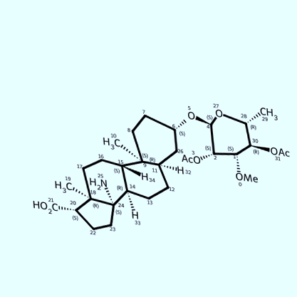 CO[C@@H]1[C@H](OC(C)=O)[C@@H](O[C@H]2CC[C@@]3(C)[C@H](CC[C@@H]4[C@@H]3CC[C@]3(C)[C@@H](C(=O)O)CC[C@]43N)C2)O[C@H](C)[C@H]1OC(C)=O